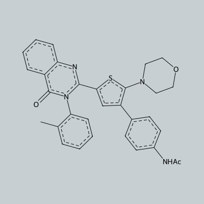 CC(=O)Nc1ccc(-c2cc(-c3nc4ccccc4c(=O)n3-c3ccccc3C)sc2N2CCOCC2)cc1